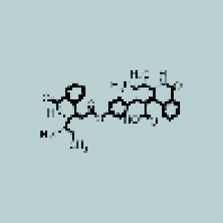 CC[C@H](C)[C@@H]1NC(=O)c2ccccc2C1=CC(=O)Oc1ccc(CC(C(=O)O)=C2c3ccccc3C(=O)N[C@H]2[C@@H](C)CC)cc1